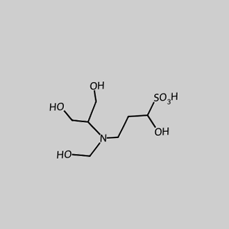 O=S(=O)(O)C(O)CCN(CO)C(CO)CO